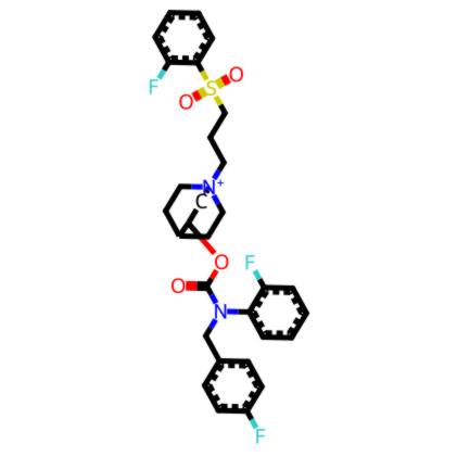 O=C(OC1C[N+]2(CCCS(=O)(=O)c3ccccc3F)CCC1CC2)N(Cc1ccc(F)cc1)c1ccccc1F